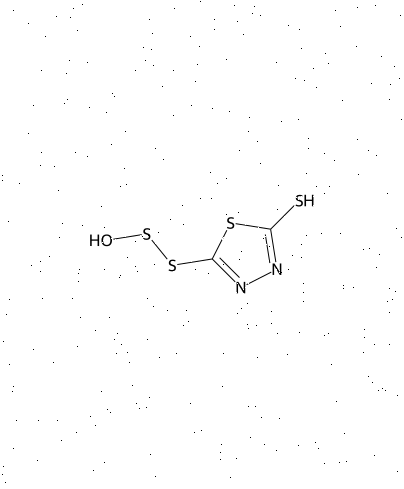 OSSc1nnc(S)s1